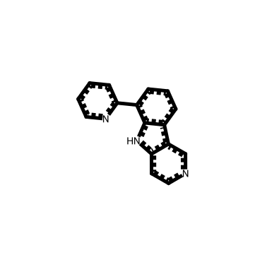 c1ccc(-c2cccc3c2[nH]c2ccncc23)nc1